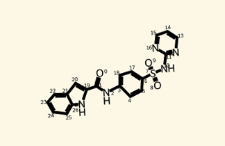 O=C(Nc1ccc(S(=O)(=O)Nc2ncccn2)cc1)c1cc2ccccc2[nH]1